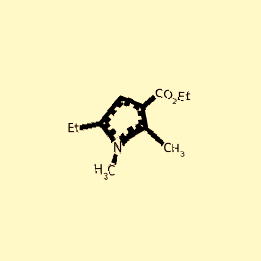 CCOC(=O)c1cc(CC)n(C)c1C